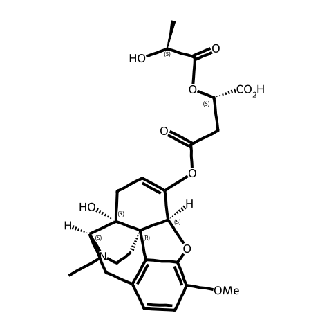 COc1ccc2c3c1O[C@@H]1C(OC(=O)C[C@H](OC(=O)[C@H](C)O)C(=O)O)=CC[C@]4(O)[C@H](C2)N(C)CC[C@@]314